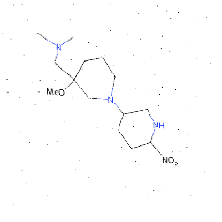 COC1(CN(C)C)CCCN(C2CCC([N+](=O)[O-])NC2)C1